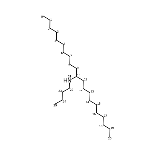 CCCCCCCCCCC(CCCCCCCCCC)NCCCC